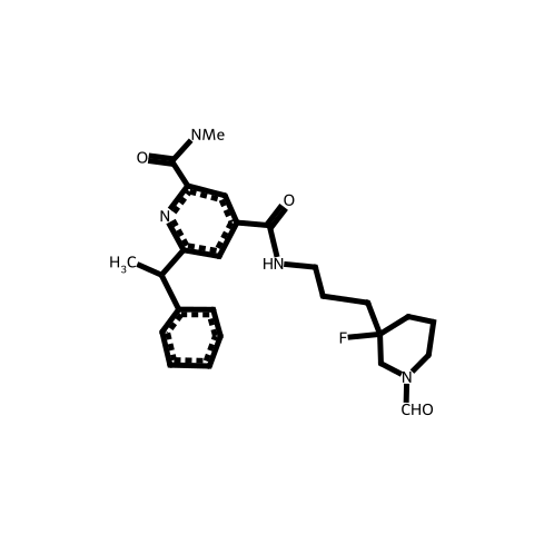 CNC(=O)c1cc(C(=O)NCCCC2(F)CCCN(C=O)C2)cc(C(C)c2ccccc2)n1